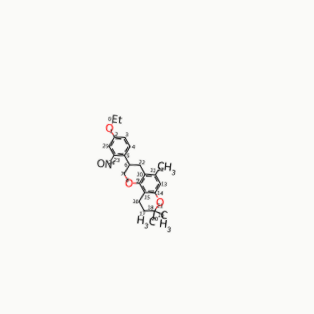 CCOc1ccc(C2COc3c(c(C)cc4c3CCC(C)(C)O4)C2)c(N=O)c1